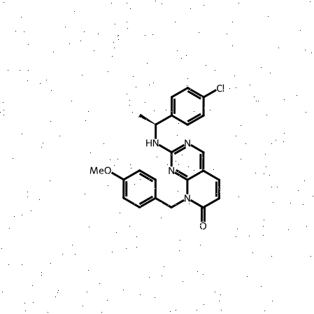 COc1ccc(Cn2c(=O)ccc3cnc(N[C@@H](C)c4ccc(Cl)cc4)nc32)cc1